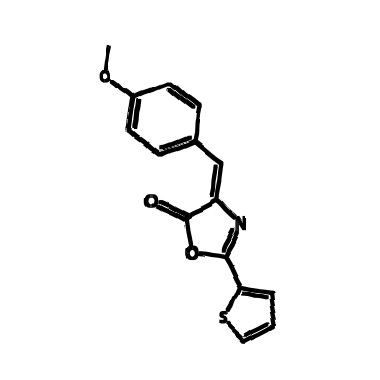 COc1ccc(C=C2N=C(c3cccs3)OC2=O)cc1